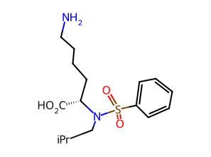 CC(C)CN([C@@H](CCCCN)C(=O)O)S(=O)(=O)c1ccccc1